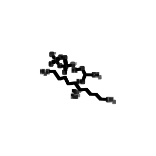 CCCCCCCCCCCC.CCOC(C)O.O=S(=O)([O-])OS(=O)(=O)[O-].[Na+].[Na+]